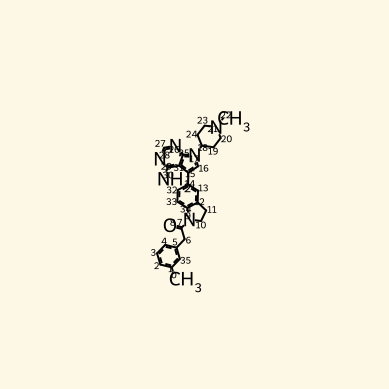 Cc1cccc(CC(=O)N2CCc3cc(-c4cn(C5CCN(C)CC5)c5ncnc(N)c45)ccc32)c1